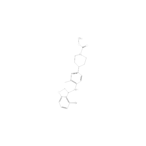 Cc1cc(C2CCN(C(=O)OC(C)(C)C)CC2)ccc1NC1COc2cccc(Br)c21